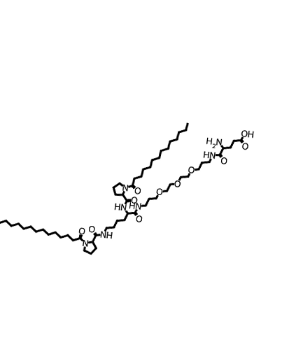 CCCCCCCCCCCCCC(=O)N1CCCC1C(=O)NCCCCC(NC(=O)C1CCCN1C(=O)CCCCCCCCCCCCC)C(=O)NCCCOCCOCCOCCCNC(=O)C(N)CCC(=O)O